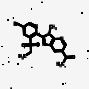 CCS(=O)(=O)c1cc(Br)cnc1-c1nc2cc(C(C)=O)cnc2n1C